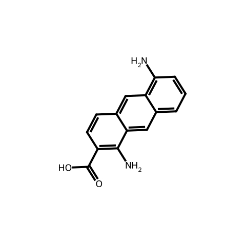 Nc1cccc2cc3c(N)c(C(=O)O)ccc3cc12